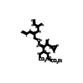 C=C/C=C(\CO/N=C(\C(=C)C1CC1)C(CCC(=O)OCC)CC(=O)O)CC(C)C=C